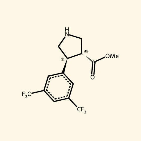 COC(=O)[C@H]1CNC[C@@H]1c1cc(C(F)(F)F)cc(C(F)(F)F)c1